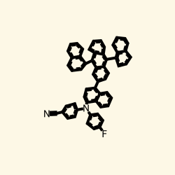 N#Cc1ccc(N(c2ccc(F)cc2)c2ccc(-c3ccc4c(-c5cccc6ccccc56)c5ccccc5c(-c5cccc6ccccc56)c4c3)c3ccccc23)cc1